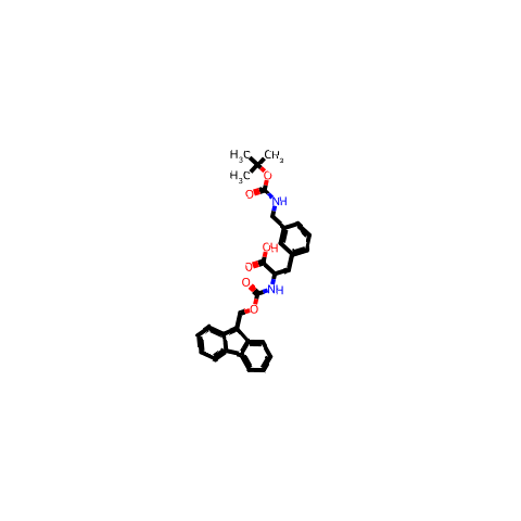 CC(C)(C)OC(=O)NCc1cccc(CC(NC(=O)OCC2c3ccccc3-c3ccccc32)C(=O)O)c1